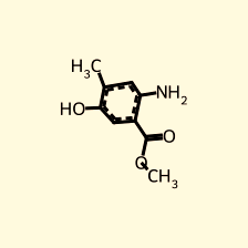 COC(=O)c1cc(O)c(C)cc1N